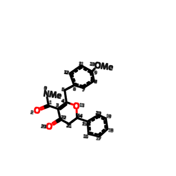 CNC(=O)C1=C(Cc2ccc(OC)cc2)OC(c2ccccc2)CC1=O